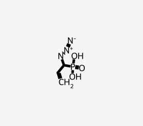 C=CC(N=[N+]=[N-])P(=O)(O)O